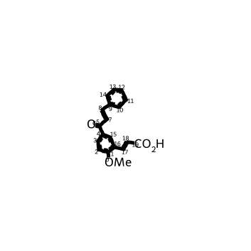 COc1ccc(C(=O)C=Cc2ccccc2)cc1C=CC(=O)O